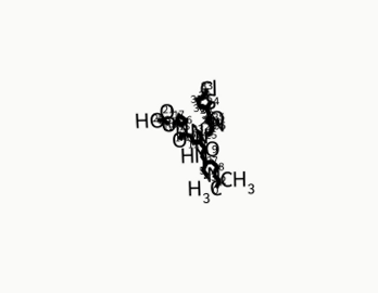 CC(C)N1CCC(NC(=O)c2cc(C(=O)N3CC[C@@H]3OC(=O)O)nn2Cc2cc(-c3ccc(Cl)s3)on2)CC1